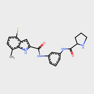 Cc1ccc(F)c2cc(C(=O)Nc3cccc(NC(=O)C4CCCN4)c3)[nH]c12